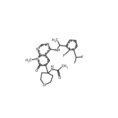 CC(=O)NC1(c2cc3c(NC(C)c4cccc(C(F)F)c4F)ncnc3n(C)c2=O)CCOCC1